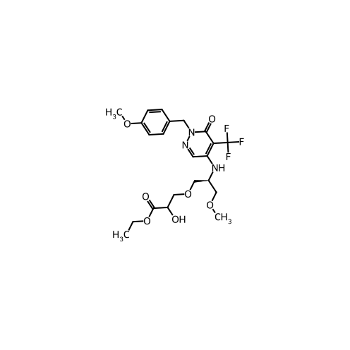 CCOC(=O)C(O)COC[C@H](COC)Nc1cnn(Cc2ccc(OC)cc2)c(=O)c1C(F)(F)F